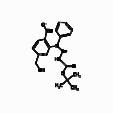 CC(C)(C)OC(=O)[NH][Sn][N](c1ccccc1)c1cc(CO)ccc1[N+](=O)[O-]